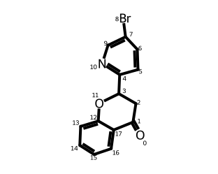 O=C1CC(c2ccc(Br)cn2)Oc2ccccc21